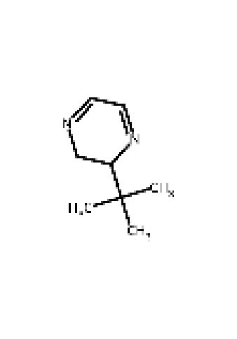 CC(C)(C)C1CN=CC=N1